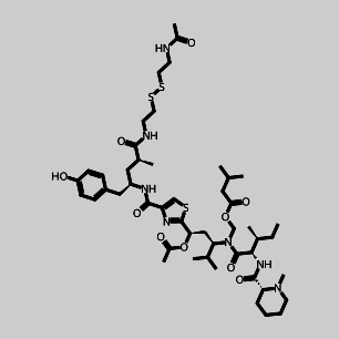 CC[C@H](C)[C@H](NC(=O)[C@H]1CCCCN1C)C(=O)N(COC(=O)CC(C)C)[C@H](C[C@@H](OC(C)=O)c1nc(C(=O)N[C@@H](Cc2ccc(O)cc2)C[C@H](C)C(=O)NCCSSCCNC(C)=O)cs1)C(C)C